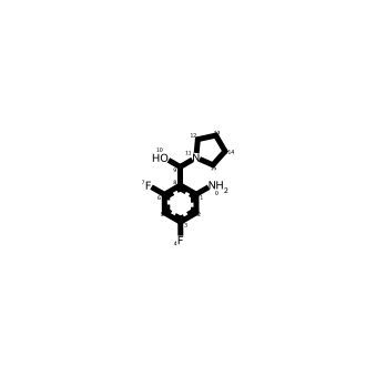 Nc1cc(F)cc(F)c1C(O)N1CCCC1